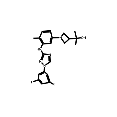 Cc1ccc(N2CC(C(C)(C)O)C2)cc1Nc1ncn(-c2cc(F)cc(F)c2)n1